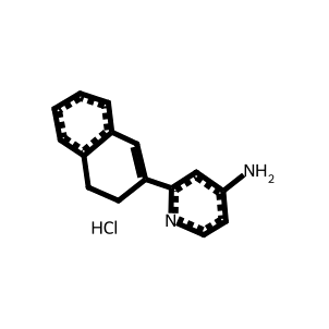 Cl.Nc1ccnc(C2=Cc3ccccc3CC2)c1